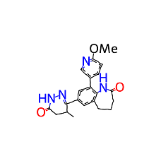 COc1ccc(-c2cc(C3=NNC(=O)CC3C)cc3c2NC(=O)CCC3)cn1